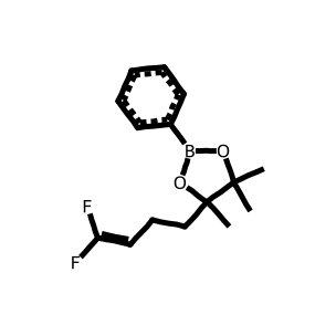 CC1(C)OB(c2ccccc2)OC1(C)CCC=C(F)F